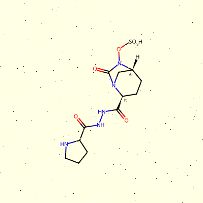 O=C(NNC(=O)[C@@H]1CC[C@@H]2CN1C(=O)N2OS(=O)(=O)O)C1CCCN1